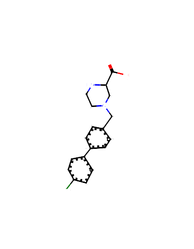 O=C(O)C1CN(Cc2ccc(-c3ccc(Cl)cc3)cc2)CCN1